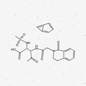 CC(=O)C(NC(=O)CN1CCc2ccccc2C1=O)C(NS(C)(=O)=O)C(=O)O.c1cc2cc-2c1